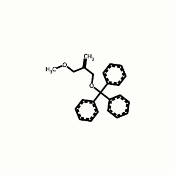 C=C(COC)COC(c1ccccc1)(c1ccccc1)c1ccccc1